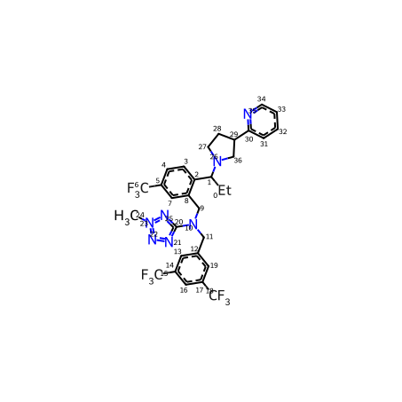 CCC(c1ccc(C(F)(F)F)cc1CN(Cc1cc(C(F)(F)F)cc(C(F)(F)F)c1)c1nnn(C)n1)N1CCC(c2ccccn2)C1